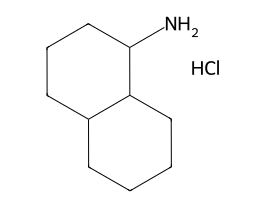 Cl.NC1CCCC2CCCCC12